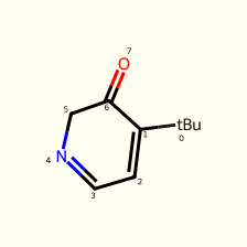 CC(C)(C)C1=CC=NCC1=O